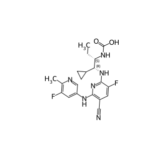 CC[C@H](NC(=O)O)[C@H](Nc1nc(Nc2cnc(C)c(F)c2)c(C#N)cc1F)C1CC1